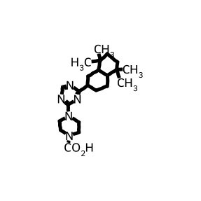 CC1(C)CCC(C)(C)C2CC(c3ncnc(N4CCN(C(=O)O)CC4)n3)CCC21